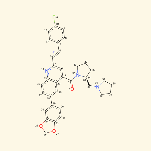 O=C(c1cc(/C=C/c2ccc(F)cc2)nc2ccc(-c3ccc4c(c3)OCO4)cc12)N1CCC[C@H]1CN1CCCC1